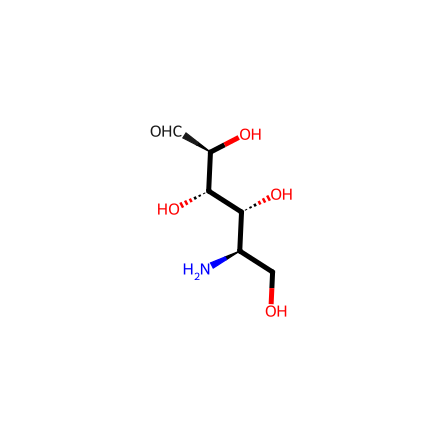 N[C@H](CO)[C@@H](O)[C@H](O)[C@H](O)C=O